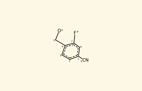 N#Cc1ccc(C[O])c(F)c1